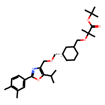 Cc1ccc(-c2nc(COC[C@H]3CCCC(COC(C)(C)C(=O)OC(C)(C)C)C3)c(C(C)C)o2)cc1C